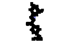 CCCCCSc1ccc(C(=O)/C=C/c2cc(F)cc(F)c2)cc1